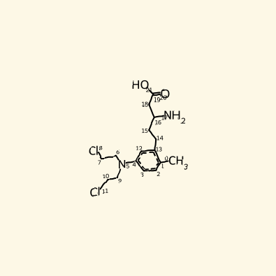 Cc1ccc(N(CCCl)CCCl)cc1CCC(N)CC(=O)O